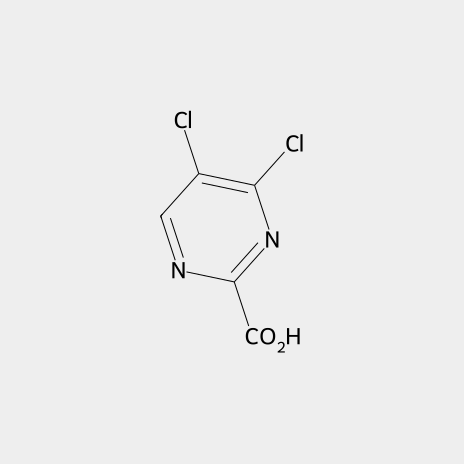 O=C(O)c1ncc(Cl)c(Cl)n1